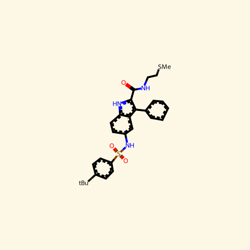 CSCCNC(=O)c1[nH]c2ccc(NS(=O)(=O)c3ccc(C(C)(C)C)cc3)cc2c1-c1ccccc1